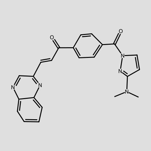 CN(C)c1ccn(C(=O)c2ccc(C(=O)C=Cc3cnc4ccccc4n3)cc2)n1